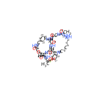 C[C@@H]1NNCCCCCCn2cc(c3cc(F)ccc32)C[C@@H]2NC(=O)[C@H](Cc3cccc(c3)CNC(=O)CO[C@H]3CCN(C2=O)C3C(=O)NC[C@@H](C)O)NC(=O)CNC1=O